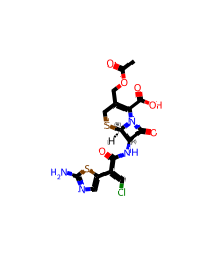 CC(=O)OCC1=C(C(=O)O)N2C(=O)[C@@H](NC(=O)C(=CCl)c3cnc(N)s3)[C@H]2SC1